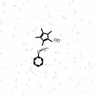 CC1=C(C)C(C)C(C)=C1C.[Cl-].[Cl-].[Hf+2][O]c1ccccc1